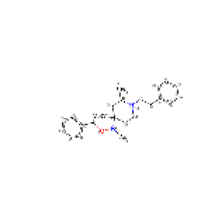 COC1(N(OCc2ccccc2)C(C)=O)CCN(CCc2ccccc2)C(C)C1